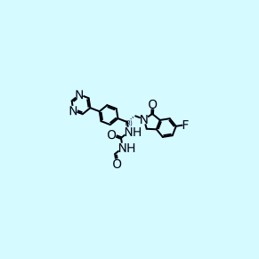 O=CNC(=O)N[C@@H](CN1Cc2ccc(F)cc2C1=O)c1ccc(-c2cncnc2)cc1